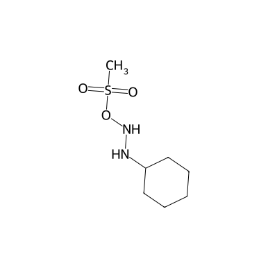 CS(=O)(=O)ONNC1CCCCC1